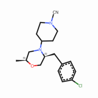 C[C@H]1CN(C2CCN(C#N)CC2)[C@@H](Cc2ccc(Cl)cc2)CO1